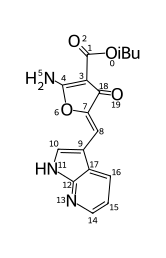 CC(C)COC(=O)C1=C(N)O/C(=C\c2c[nH]c3ncccc23)C1=O